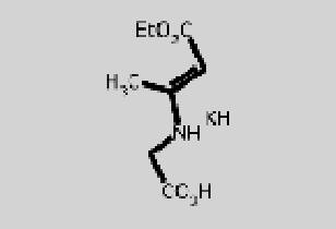 CCOC(=O)/C=C(\C)NCC(=O)O.[KH]